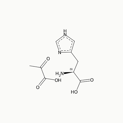 CC(=O)C(=O)O.N[C@@H](Cc1c[nH]cn1)C(=O)O